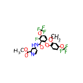 COC(=O)c1cc(NC(=O)c2c(Oc3ccc(OC(F)(F)F)cc3OC)ccc(OC(F)(F)F)c2F)ccn1